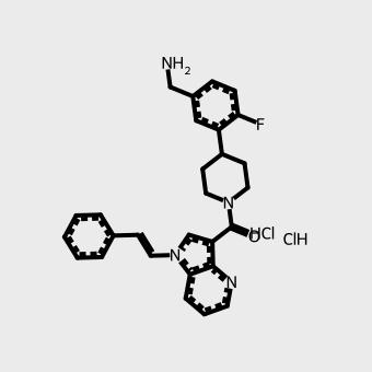 Cl.Cl.NCc1ccc(F)c(C2CCN(C(=O)c3cn(C=Cc4ccccc4)c4cccnc34)CC2)c1